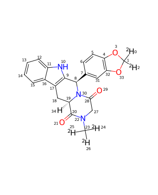 [2H]C1([2H])Oc2ccc([C@@H]3c4[nH]c5ccccc5c4C[C@@H]4C(=O)N(C([2H])([2H])[2H])CC(=O)N34)cc2O1